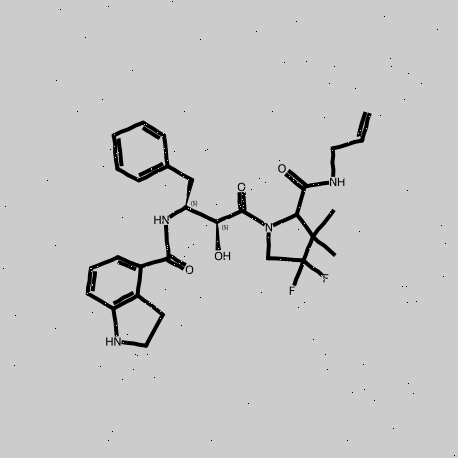 C=CCNC(=O)C1N(C(=O)[C@@H](O)[C@H](Cc2ccccc2)NC(=O)c2cccc3c2CCN3)CC(F)(F)C1(C)C